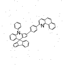 c1ccc(N2c3ccccc3C3(c4ccccc4-c4ccccc43)c3ccc(-c4ccc(-c5ccc6ccc7ccccc7c6n5)cc4)cc32)cc1